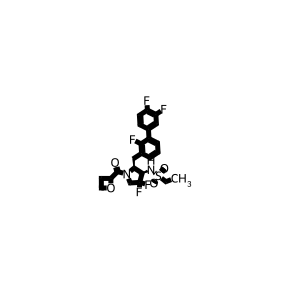 CCS(=O)(=O)N[C@@H]1[C@H](Cc2cccc(-c3ccc(F)c(F)c3)c2F)N(C(=O)C2CCO2)CC1(F)F